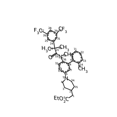 CCOC(=O)CC1CCN(c2cc(-c3ccccc3C)c(N(C)C(=O)C(C)(C)c3cc(C(F)(F)F)cc(C(F)(F)F)c3)cn2)CC1